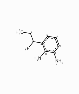 CCC(F)c1cccc(N)c1N